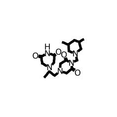 CC1CC(C)CN(CN2C(=O)CN(CC(C)N3CC(=O)NC(=O)C3)CC2=O)C1